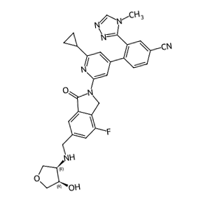 Cn1cnnc1-c1cc(C#N)ccc1-c1cc(C2CC2)nc(N2Cc3c(F)cc(CN[C@@H]4COC[C@@H]4O)cc3C2=O)c1